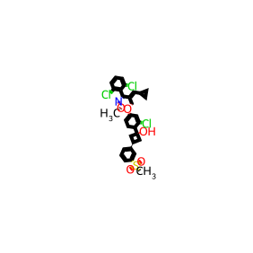 CO/N=C(\C(=C\C1CC1)COC1=CCC([C@]2(O)C[C@@H](c3cccc(S(C)(=O)=O)c3)C2)C(Cl)=C1)c1c(Cl)cccc1Cl